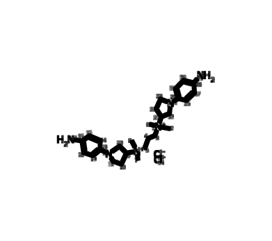 C[N+](C)(CCC[N+](C)(C)C1CCN(c2ccc(N)cc2)C1)C1CCN(c2ccc(N)cc2)C1.[Cl-].[Cl-]